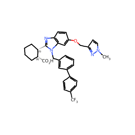 Cn1ccc(COc2ccc3nc([C@H]4CCCC[C@H]4C(=O)O)n(Cc4cccc(-c5ccc(C(F)(F)F)cc5)c4)c3c2)n1